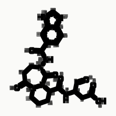 O=CC(CC(=O)O)NC(=O)C1CCCN2C(=O)CCN(NC(=O)c3ccc4nc[nH]c4c3)C(=O)N12